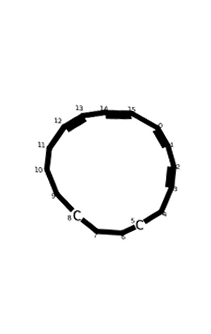 C1=CC=CCCCCCCCCC=CC=C1